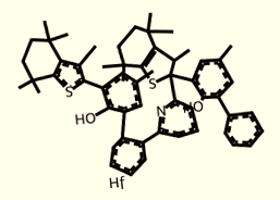 Cc1cc(-c2ccccc2-c2cccc(C3(c4cc(C)cc(-c5ccccc5)c4O)SC4=C(C3C)C(C)(C)CCC4(C)C)n2)c(O)c(-c2sc3c(c2C)C(C)(C)CCC3(C)C)c1.[Hf]